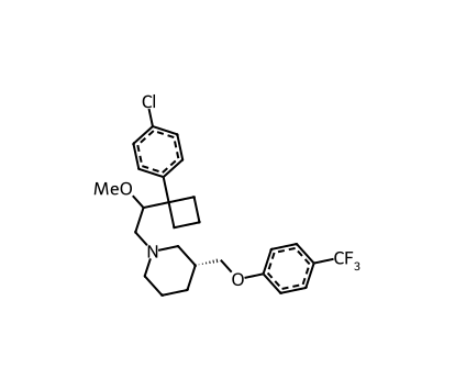 COC(CN1CCC[C@@H](COc2ccc(C(F)(F)F)cc2)C1)C1(c2ccc(Cl)cc2)CCC1